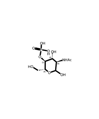 CC(=O)N[C@H]1C(O)O[C@H](CO)[C@@H](OP(=O)(O)O)[C@@H]1O